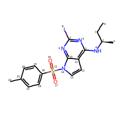 CC[C@@H](C)Nc1nc(I)nc2c1ccn2S(=O)(=O)c1ccc(C)cc1